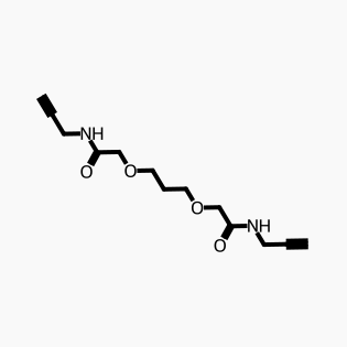 C#CCNC(=O)COCCCOCC(=O)NCC#C